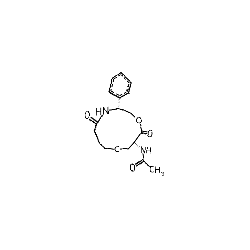 CC(=O)N[C@@H]1CCCCCC(=O)N[C@H](c2ccccc2)COC1=O